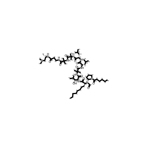 CCCCCCCC[C@@H](C(=O)N[C@H](C(=O)NC(C)(C)C(=O)N[C@@H](CC(C)C)C(=O)N[C@@H](CC(C)C)C(=O)NC(C)(C)C(=O)NC(C)(C)C(=O)NCCC(=O)N[C@@H](C)CN(C)C)[C@H](O)C(C)C)N(C=O)[C@@H]1CCCN1C(=O)CCCCC